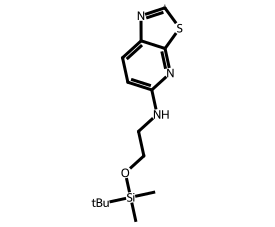 CC(C)(C)[Si](C)(C)OCCNc1ccc2n[c]sc2n1